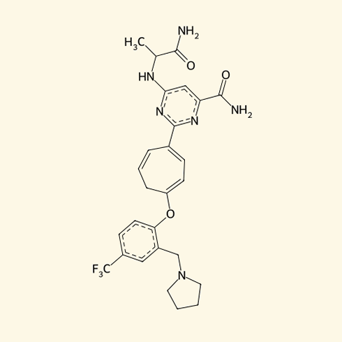 CC(Nc1cc(C(N)=O)nc(C2=CC=C(Oc3ccc(C(F)(F)F)cc3CN3CCCC3)CC=C2)n1)C(N)=O